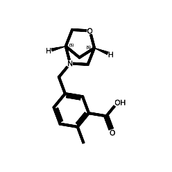 Cc1ccc(CN2C[C@@H]3C[C@H]2CO3)cc1C(=O)O